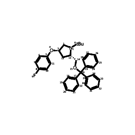 CC(C)(C)N1C[C@H](Oc2ccc(F)cc2)C[C@H]1COC(c1ccccc1)(c1ccccc1)c1ccccc1